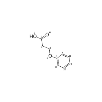 O=C(O)CCOc1[c]cccc1